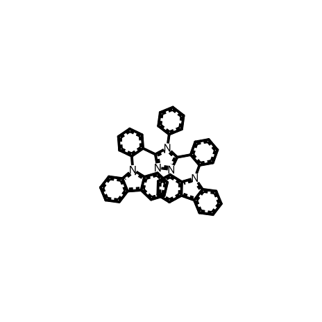 c1ccc(-n2c(-c3ccccc3-n3c4ccccc4c4ccccc43)nnc2-c2ccccc2-n2c3ccccc3c3ccccc32)cc1